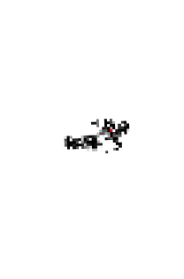 CC(C)(ON)[C@@H](CCC[C@H]1CCC2[C@]1(C)CC[C@@]1(C)C3CC[C@H](N=O)C(C)(C)C3=CC[C@@]21N)O[C@H]1C[C@@H](N=O)C[C@@H](CN=O)O1